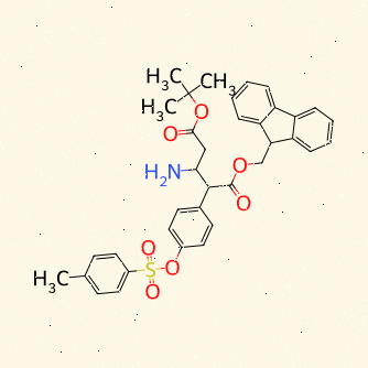 Cc1ccc(S(=O)(=O)Oc2ccc(C(C(=O)OCC3c4ccccc4-c4ccccc43)C(N)CC(=O)OC(C)(C)C)cc2)cc1